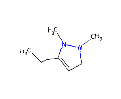 CCC1=CCN(C)N1C